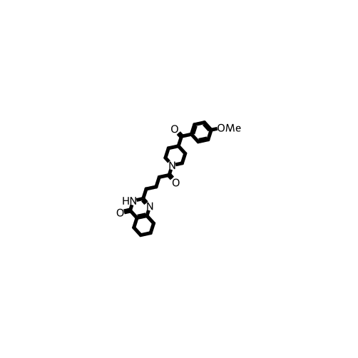 COc1ccc(C(=O)C2CCN(C(=O)CCCc3nc4c(c(=O)[nH]3)CCCC4)CC2)cc1